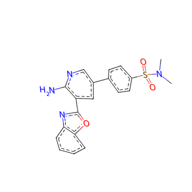 CN(C)S(=O)(=O)c1ccc(-c2cnc(N)c(-c3nc4ccccc4o3)c2)cc1